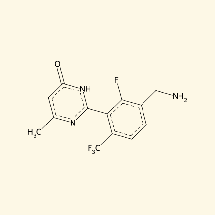 Cc1cc(=O)[nH]c(-c2c(C(F)(F)F)ccc(CN)c2F)n1